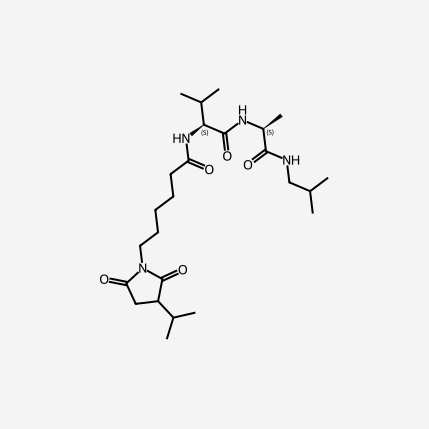 CC(C)CNC(=O)[C@H](C)NC(=O)[C@@H](NC(=O)CCCCCN1C(=O)CC(C(C)C)C1=O)C(C)C